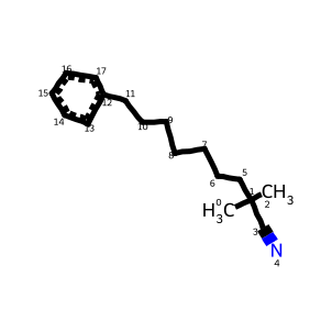 CC(C)(C#N)CCCCCCCc1ccccc1